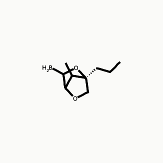 BC1O[C@@]2(CCC)COC1C2C